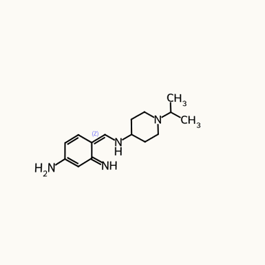 CC(C)N1CCC(N/C=C2/C=CC(N)=CC2=N)CC1